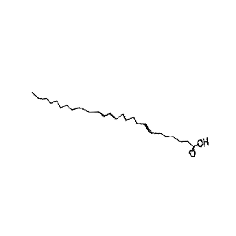 CCCCCCCCCCCCCCCCCC/C=C/CCCCCC(=O)O